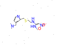 CNC(=C[N+](=O)[O-])NCCSCc1cc(CN(C)C)ccn1